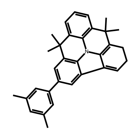 Cc1cc(C)cc(-c2cc3c4c(c2)c2c5n4-c4c(cccc4C3(C)C)C(C)(C)C=5CCC=2)c1